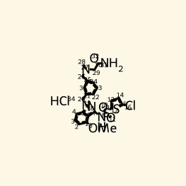 COc1cccc2c1c(NS(=O)(=O)c1ccc(Cl)s1)nn2Cc1cccc(CN(C)CC(N)=O)c1.Cl